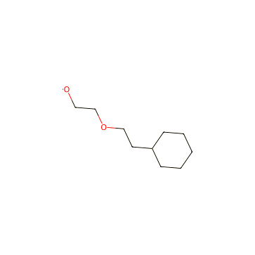 [O]CCOCCC1CCCCC1